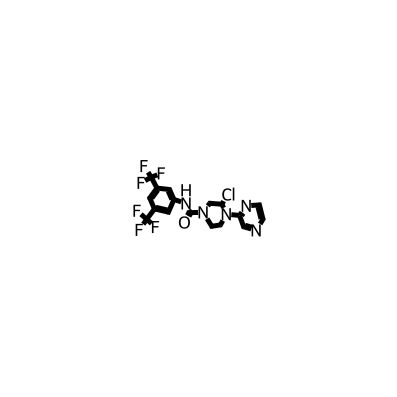 O=C(Nc1cc(C(F)(F)F)cc(C(F)(F)F)c1)N1CCN(c2cnccn2)C(Cl)C1